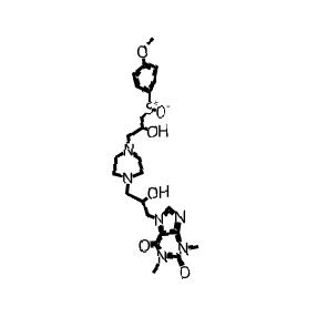 COc1ccc([S+]([O-])CC(O)CN2CCN(CC(O)Cn3cnc4c3c(=O)n(C)c(=O)n4C)CC2)cc1